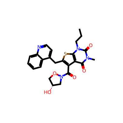 CCCn1c(=O)n(C)c(=O)c2c(C(=O)N3C[C@H](O)CO3)c(Cc3ccnc4ccccc34)sc21